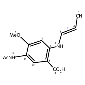 COc1cc(N/C=C/C#N)c(C(=O)O)cc1NC(C)=O